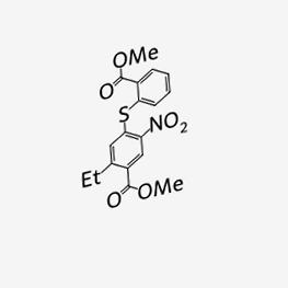 CCc1cc(Sc2ccccc2C(=O)OC)c([N+](=O)[O-])cc1C(=O)OC